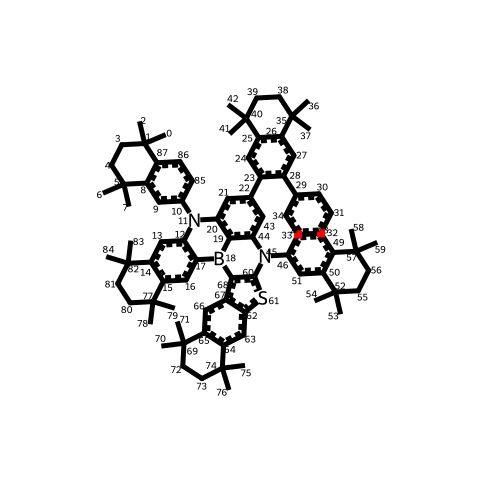 CC1(C)CCC(C)(C)c2cc(N3c4cc5c(cc4B4c6c3cc(-c3cc7c(cc3-c3ccccc3)C(C)(C)CCC7(C)C)cc6N(c3ccc6c(c3)C(C)(C)CCC6(C)C)c3sc6cc7c(cc6c34)C(C)(C)CCC7(C)C)C(C)(C)CCC5(C)C)ccc21